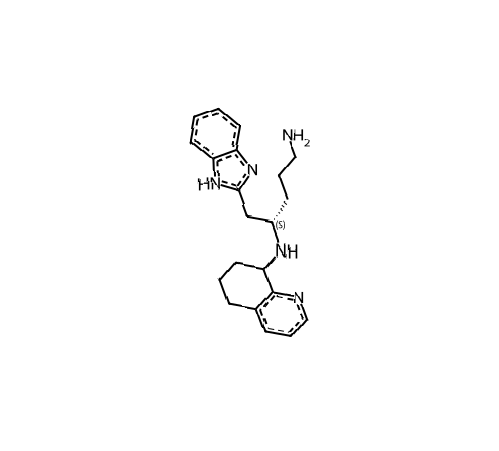 NCCC[C@@H](Cc1nc2ccccc2[nH]1)NC1CCCc2cccnc21